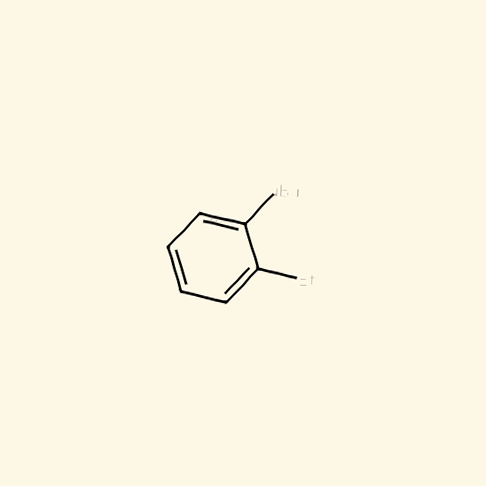 [CH2]Cc1ccccc1C(C)CC